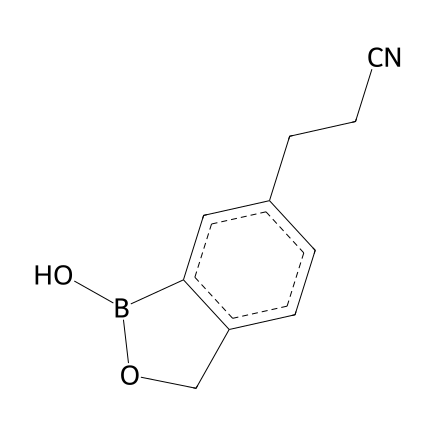 N#CCCc1ccc2c(c1)B(O)OC2